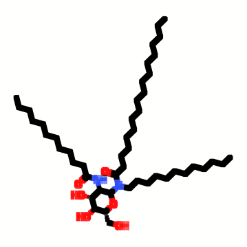 CCCCCCCCCCCCCCCCCC(=O)N(CCCCCCCCCCCC)C1O[C@H](CO)[C@@H](O)[C@H](O)[C@H]1NC(=O)CCCCCCCCCCC